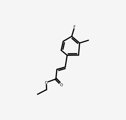 CCOC(=O)C=Cc1ccc(F)c(C)c1